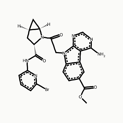 COC(=O)c1ccc2c(c1)c1c(N)ncnc1n2CC(=O)N1[C@@H]2C[C@@H]2C[C@H]1C(=O)Nc1cccc(Br)n1